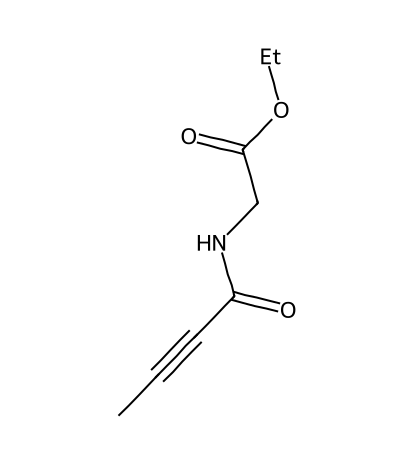 CC#CC(=O)NCC(=O)OCC